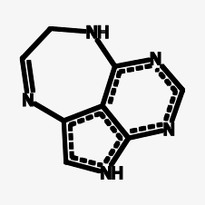 C1=Nc2c[nH]c3ncnc(c23)NC1